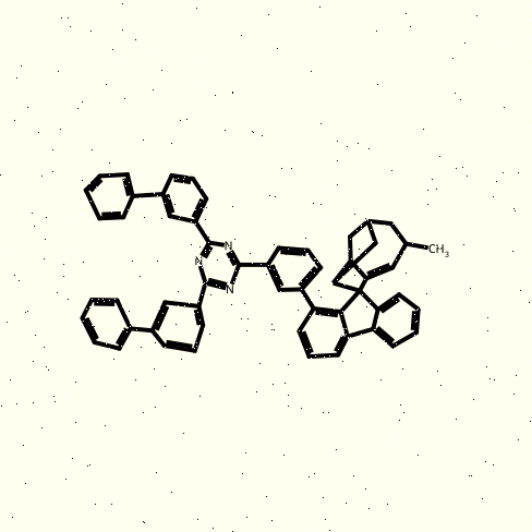 CC1C=C2C3CC(C1)CC3C21c2ccccc2-c2cccc(-c3cccc(-c4nc(-c5cccc(-c6ccccc6)c5)nc(-c5cccc(-c6ccccc6)c5)n4)c3)c21